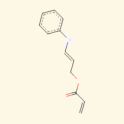 C=CC(=O)OCC=CNc1ccccc1